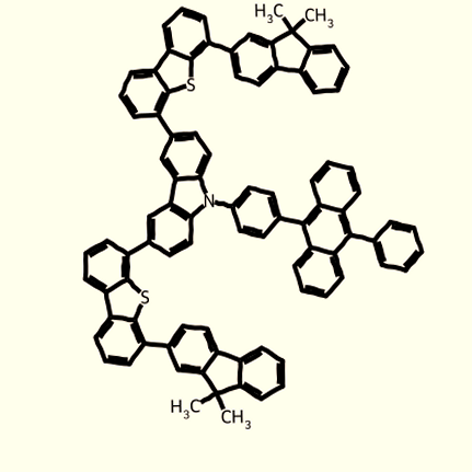 CC1(C)c2ccccc2-c2ccc(-c3cccc4c3sc3c(-c5ccc6c(c5)c5cc(-c7cccc8c7sc7c(-c9ccc%10c(c9)C(C)(C)c9ccccc9-%10)cccc78)ccc5n6-c5ccc(-c6c7ccccc7c(-c7ccccc7)c7ccccc67)cc5)cccc34)cc21